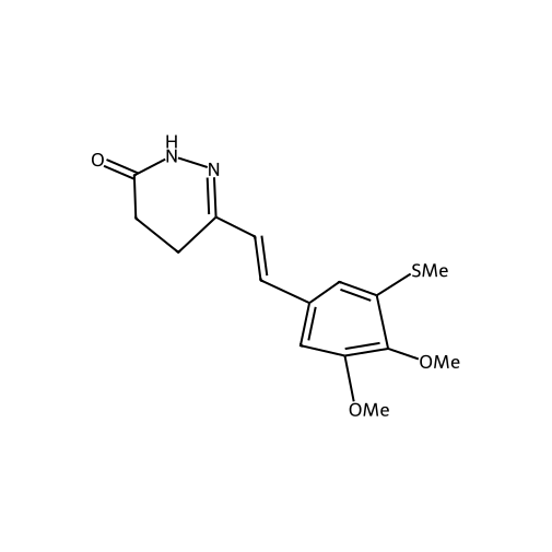 COc1cc(C=CC2=NNC(=O)CC2)cc(SC)c1OC